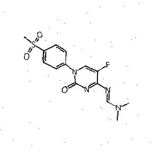 CN(C)/C=N/c1nc(=O)n(-c2ccc(S(C)(=O)=O)cc2)cc1F